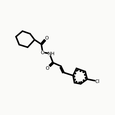 O=C(C=Cc1ccc(Cl)cc1)NOC(=O)C1CCCCC1